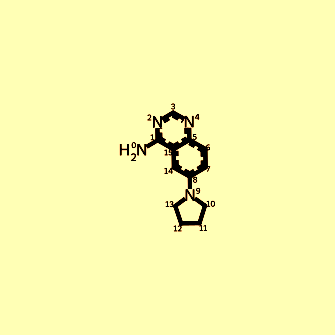 Nc1ncnc2ccc(N3CCCC3)cc12